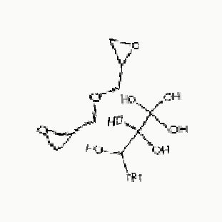 C(OCC1CO1)C1CO1.CCCC(O)C(O)(O)C(O)(O)O